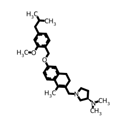 COc1cc(CC(C)C)ccc1COc1ccc2c(c1)CCC(CN1CC[C@@H](N(C)C)C1)=C2C